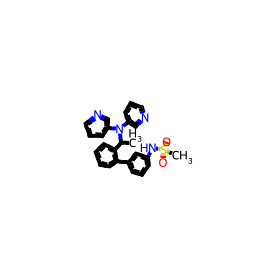 CC(c1ccccc1-c1cccc(NS(C)(=O)=O)c1)N(c1cccnc1)c1cccnc1